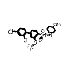 O=S(=O)(NC1CCC(O)CC1)c1ccc(-c2ccc(Cl)cc2Cl)cc1OC(F)(F)F